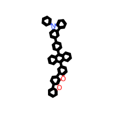 c1ccc(-n2c3ccccc3c3cc(-c4ccc(-c5c6ccccc6c(-c6ccc7oc8c(ccc9c%10ccccc%10oc98)c7c6)c6ccccc56)cc4)ccc32)cc1